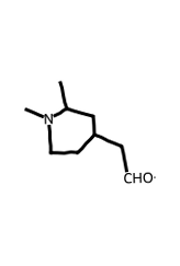 CC1CC(C[C]=O)CCN1C